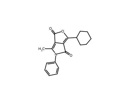 CC1=C2C(=O)OC(C3CCCCC3)=C2C(=O)N1c1ccccc1